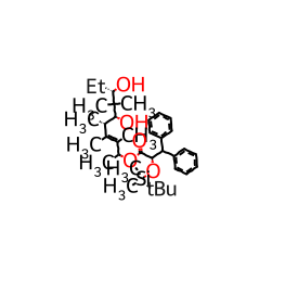 CC[C@H](O)C(C)(C)[C@@H](O)[C@@H](C)/C(C)=C(\C)C(C)OC(=O)[C@H](O[Si](C)(C)C(C)(C)C)C(c1ccccc1)c1ccccc1